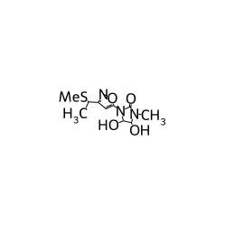 CSC(C)c1cc(N2C(=O)N(C)C(O)C2O)on1